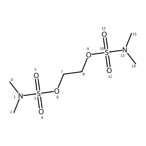 CN(C)S(=O)(=O)OCCOS(=O)(=O)N(C)C